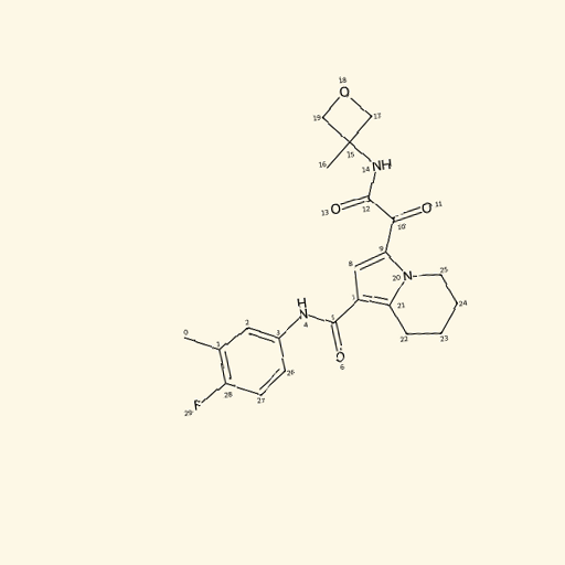 Cc1cc(NC(=O)c2cc(C(=O)C(=O)NC3(C)COC3)n3c2CCCC3)ccc1F